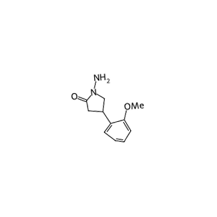 COc1ccccc1C1CC(=O)N(N)C1